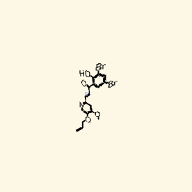 C=CCOc1cnc(/C=C/C(=O)c2cc(Br)cc(Br)c2O)cc1OC